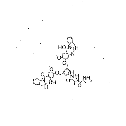 COc1cc2c(cc1OCc1cc(COc3cc4c(cc3OC)C(=O)N3c5ccccc5C[C@H]3CN4)cc(NC(=O)[C@H](C)NC(=O)[C@H](C)N)c1)N=C[C@@H]1Cc3ccccc3N1C2O